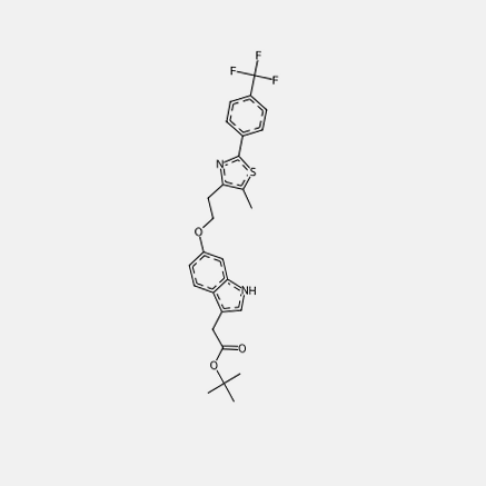 Cc1sc(-c2ccc(C(F)(F)F)cc2)nc1CCOc1ccc2c(CC(=O)OC(C)(C)C)c[nH]c2c1